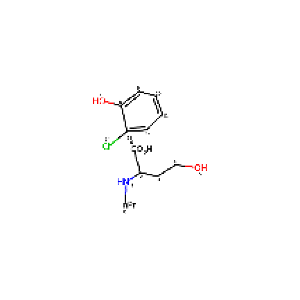 CCCNC(CCO)C(=O)O.Oc1ccccc1Cl